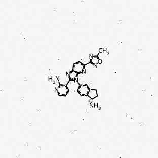 Cc1nc(-c2ccc3nc(-c4cccnc4N)n(-c4ccc5c(c4)CC[C@@H]5N)c3n2)no1